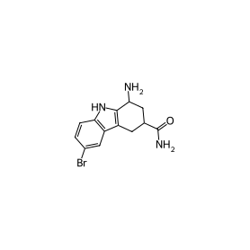 NC(=O)C1Cc2c([nH]c3ccc(Br)cc23)C(N)C1